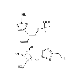 CC(C)(ON=C(C(=O)N[C@@H]1C(=O)N(S(=O)(=O)O)[C@H]1Cn1cnc(CN)n1)c1csc(N)n1)C(=O)O